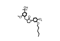 CCCCCOc1cc(N2CCN(Cc3ccc(C(C)(C)O)cc3OC)C2=O)ccc1OC